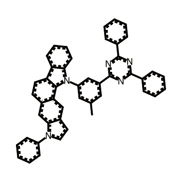 Cc1cc(-c2nc(-c3ccccc3)nc(-c3ccccc3)n2)cc(-n2c3ccccc3c3ccc4cc5c(ccn5-c5ccccc5)cc4c32)c1